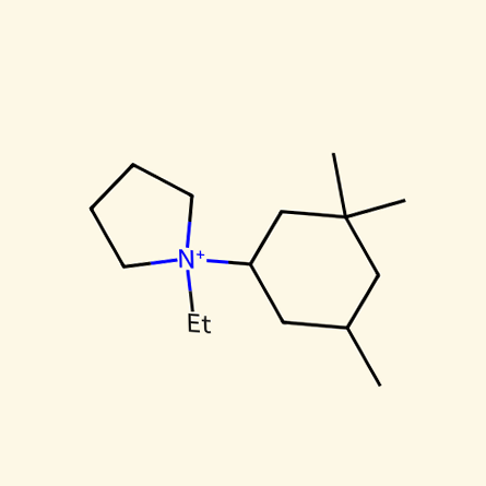 CC[N+]1(C2CC(C)CC(C)(C)C2)CCCC1